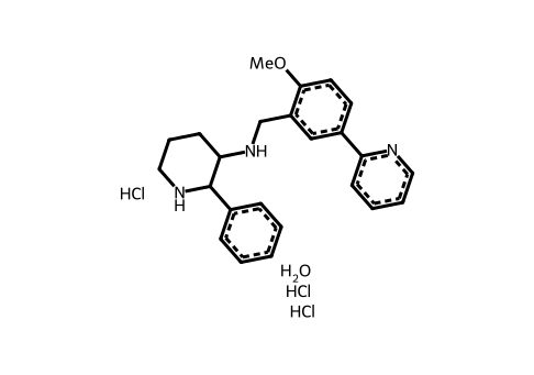 COc1ccc(-c2ccccn2)cc1CNC1CCCNC1c1ccccc1.Cl.Cl.Cl.O